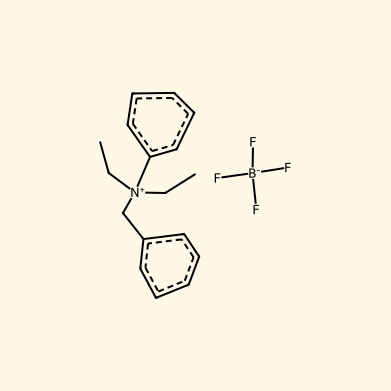 CC[N+](CC)(Cc1ccccc1)c1ccccc1.F[B-](F)(F)F